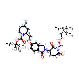 CC(C)(C)OC(=O)N1CCC(F)CC1COc1ccc2c(c1)CN(C1CCC(=O)N(COCC[Si](C)(C)C)C1=O)C2=O